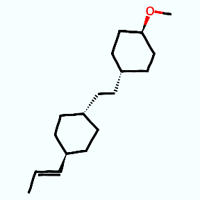 C/C=C/[C@H]1CC[C@H](CC[C@H]2CC[C@H](OC)CC2)CC1